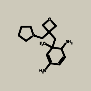 NC1=CC(CC2(CN3CCCC3)COC2)(C(F)(F)F)C(N)C=C1